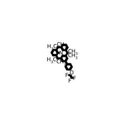 CC1(C)c2cccc3c2N2c4c1cccc4C(C)(C)c1cc(-c4ccc(OC(F)=C(F)F)cc4)cc(c12)C3(C)C